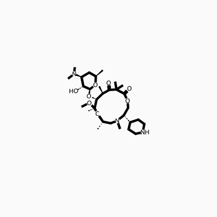 CO[C@]1(C)C[C@@H](C)CN(C)[C@@H](C2CCNCC2)COC(=O)C(C)(C)C(=O)[C@H](C)[C@H]1O[C@@H]1O[C@H](C)C[C@H](N(C)C)[C@H]1O